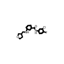 O=C(Nc1ccc(F)c(Cl)c1)c1cccc(NCC2CCOC2)c1